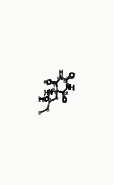 CCCCC1(NO)C(=O)NC(=O)NC1=O